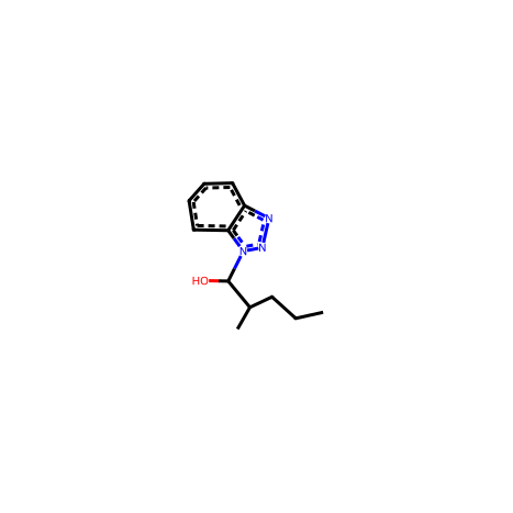 CCCC(C)C(O)n1nnc2ccccc21